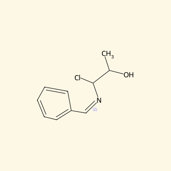 CC(O)C(Cl)/N=C\c1ccccc1